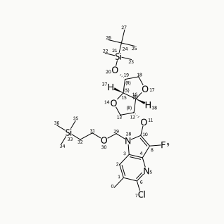 Cc1cc2c(nc1Cl)c(F)c(O[C@@H]1CO[C@H]3[C@@H]1OC[C@H]3O[Si](C)(C)C(C)(C)C)n2COCC[Si](C)(C)C